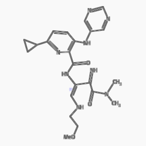 COCCN/C=C(/NC(=O)c1nc(C2CC2)ccc1Nc1cncnc1)C(=N)C(=O)N(C)C